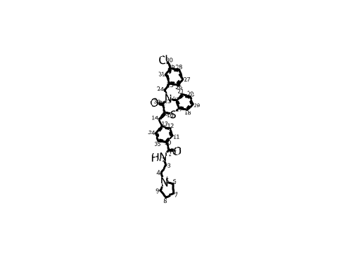 O=C(NCCN1CCCC1)c1ccc(C=C2Sc3ccccc3N(Cc3cccc(Cl)c3)C2=O)cc1